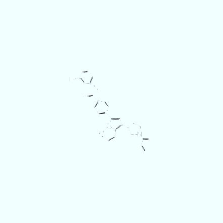 C=CC(=O)N1CCC(c2cc(-c3ccc(C(=O)Nc4cccc(F)c4)cc3)n3cnccc23)C1